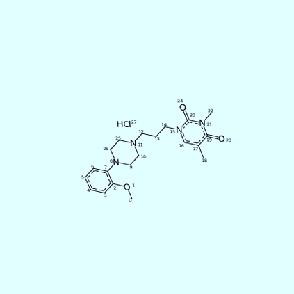 COc1ccccc1N1CCN(CCCn2cc(C)c(=O)n(C)c2=O)CC1.Cl